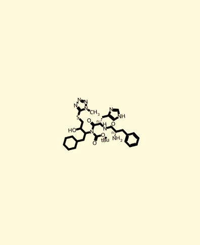 Cn1nnnc1SCC(O)C(CC1CCCCC1)N(C(=O)OC(C)(C)C)C(=O)[C@H](Cc1c[nH]cn1)NC(=O)[C@@H](N)Cc1ccccc1